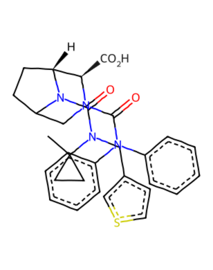 CC1(N(Cc2ccsc2)C(=O)N2C3CC[C@@H]2[C@@H](C(=O)O)N(C(=O)N(c2ccccc2)c2ccccc2)C3)CC1